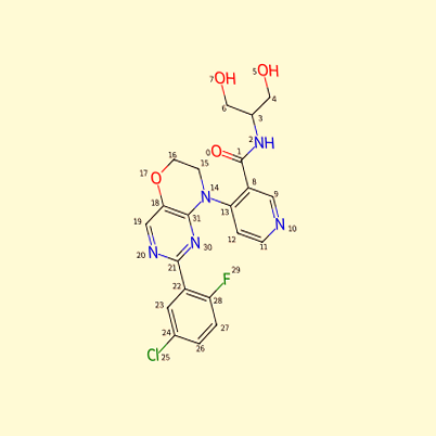 O=C(NC(CO)CO)c1cnccc1N1CCOc2cnc(-c3cc(Cl)ccc3F)nc21